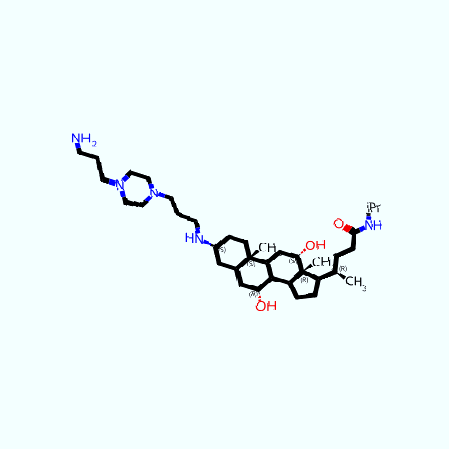 CC(C)NC(=O)CC[C@@H](C)C1CCC2C3C(C[C@H](O)[C@@]21C)[C@@]1(C)CC[C@H](NCCCN2CCN(CCCN)CC2)CC1C[C@H]3O